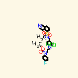 CCOC(=O)N(CCCN1CCC(CN(C)S(=O)(=O)c2cccc3cnccc23)CC1)c1ccc(F)cc1.Cl.Cl